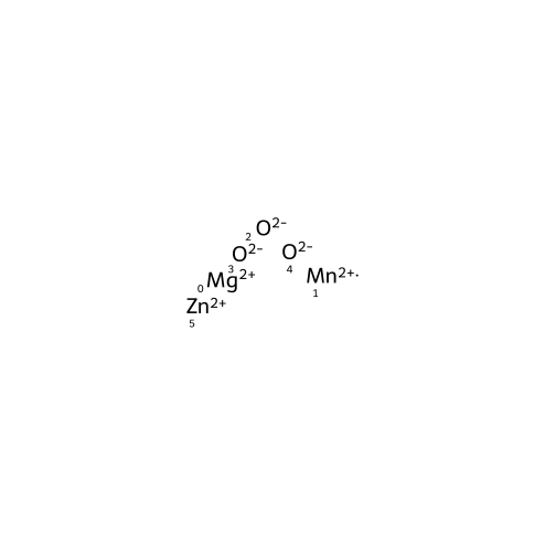 [Mg+2].[Mn+2].[O-2].[O-2].[O-2].[Zn+2]